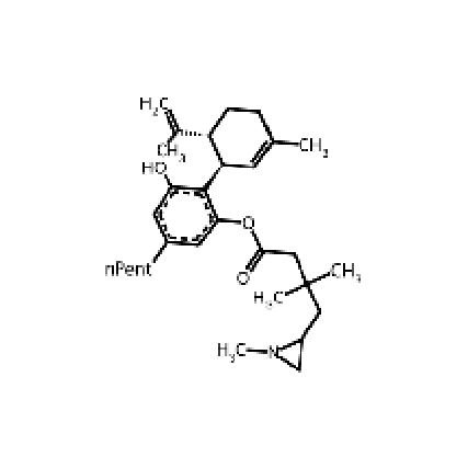 C=C(C)[C@@H]1CCC(C)=C[C@H]1c1c(O)cc(CCCCC)cc1OC(=O)CC(C)(C)CC1CN1C